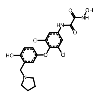 O=C(NO)C(=O)Nc1cc(Cl)c(Oc2ccc(O)c(CN3CCCC3)c2)c(Cl)c1